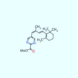 COC(=O)c1ncc(C=C(C)C=CC2=C(C)CCCC2(C)C)cn1